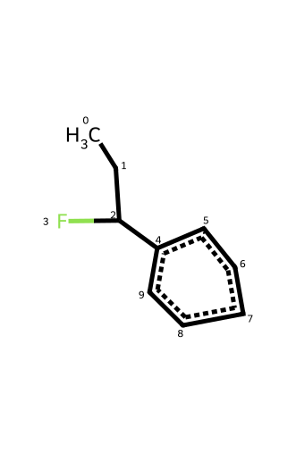 CCC(F)c1[c]cccc1